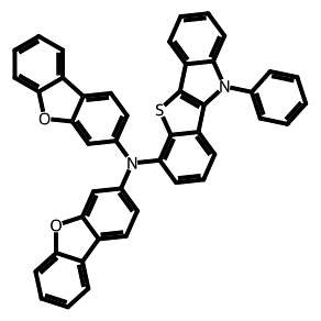 c1ccc(-n2c3ccccc3c3sc4c(N(c5ccc6c(c5)oc5ccccc56)c5ccc6c(c5)oc5ccccc56)cccc4c32)cc1